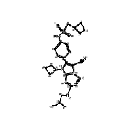 N#Cc1c(-c2ccc(NS(=O)(=O)CC3CCC3)cc2)n(C2CCC2)c2cc(OCC(F)F)ccc12